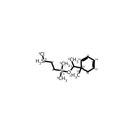 CC(O[Si](C)(C)CC[SiH2]Cl)C1(C)C=CC=CC1